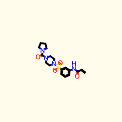 C=CC(=O)Nc1cccc(S(=O)(=O)N2CCN(C(=O)N3CCCC3)CC2)c1